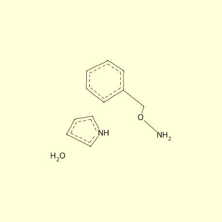 NOCc1ccccc1.O.c1cc[nH]c1